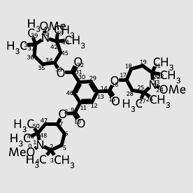 CON1C(C)(C)CCC(OC(=O)c2cc(C(=O)OC3CCC(C)(C)N(OC)C(C)(C)C3)cc(C(=O)OC3CCC(C)(C)N(OC)C(C)(C)C3)c2)CC1(C)C